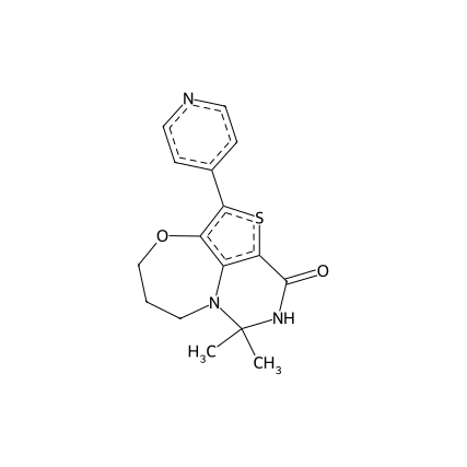 CC1(C)NC(=O)c2sc(-c3ccncc3)c3c2N1CCCO3